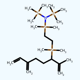 C=CC(=C)CCC(C(=C)C)S(C)(C)CCS(C)(C)N(S(C)(C)C)S(C)(C)C